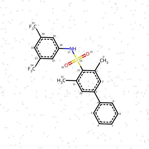 Cc1cc(-c2ccccc2)cc(C)c1S(=O)(=O)Nc1cc(C(F)(F)F)cc(C(F)(F)F)c1